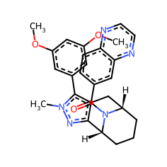 COc1cc(OC)cc(-c2c3c(nn2C)[C@H]2CCC[C@@H](C3)N2C(=O)c2ccc3nccnc3c2)c1